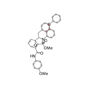 COC(=O)C1=C(C(=O)Nc2ccc(OC)cc2)C2C=CC1(C(Cc1ccccc1)Nc1cccc(Oc3ccccc3)c1)O2